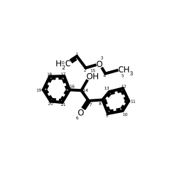 C=CCOCC.O=C(c1ccccc1)C(O)c1ccccc1